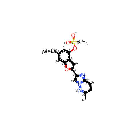 COc1cc(OS(=O)(=O)C(F)(F)F)c2cc(-c3cn4nc(C)ccc4n3)oc2c1